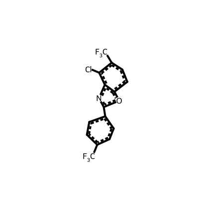 FC(F)(F)c1ccc(-c2nc3c(Cl)c(C(F)(F)F)ccc3o2)cc1